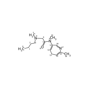 CCCCN(C)CC(=O)N(C)C1=CCC=C(C)N=C1